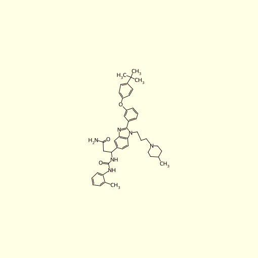 Cc1ccccc1NC(=O)NC(CC(N)=O)c1ccc2c(c1)nc(-c1cccc(Oc3ccc(C(C)(C)C)cc3)c1)n2CCCN1CCC(C)CC1